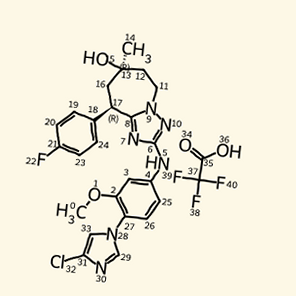 COc1cc(Nc2nc3n(n2)CC[C@](C)(O)C[C@@H]3c2ccc(F)cc2)ccc1-n1cnc(Cl)c1.O=C(O)C(F)(F)F